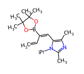 C=C/C(=C\c1c(C)nc(C)n1C(C)C)B1OC(C)(C)C(C)(C)O1